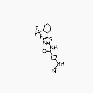 N#CNC1CC(C(=O)Nc2ncc([C@H]3CCCC[C@H]3C(F)(F)F)s2)C1